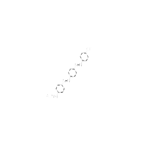 CC(=O)Nc1ccc(N=Nc2ccc(N=Nc3ccc(C(F)(F)F)cc3)cc2)cc1